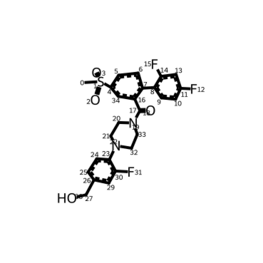 CS(=O)(=O)c1ccc(-c2ccc(F)cc2F)c(C(=O)N2CCN(c3ccc(CO)cc3F)CC2)c1